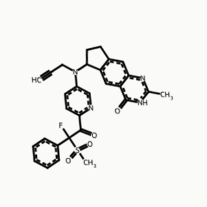 C#CCN(c1ccc(C(=O)C(F)(c2ccccc2)S(C)(=O)=O)nc1)C1CCc2cc3nc(C)[nH]c(=O)c3cc21